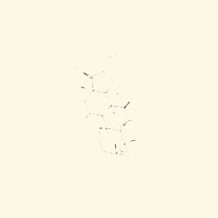 CO[C@@H]1C[C@H]2[C@@H]3C(=O)C=C4[C@@H]5O[C@@H]5CC[C@]4(C)[C@H]3CC[C@]2(C)C1=O